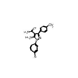 Cc1ccc(-c2nn(-c3ccc(Br)cc3)c(N)c2C(N)=O)cc1